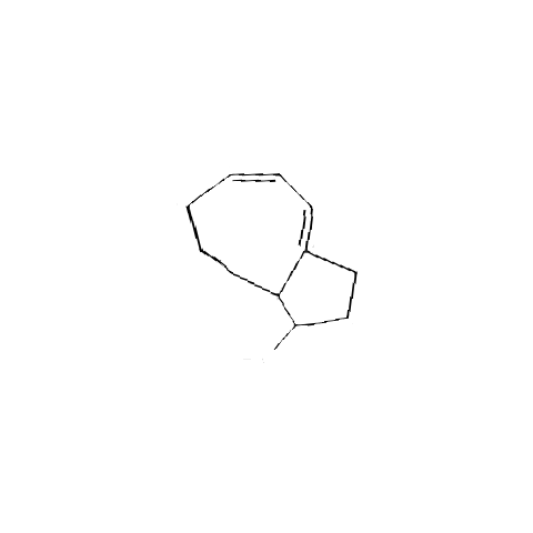 CC1CC/C2=C/C=C\CCCC21